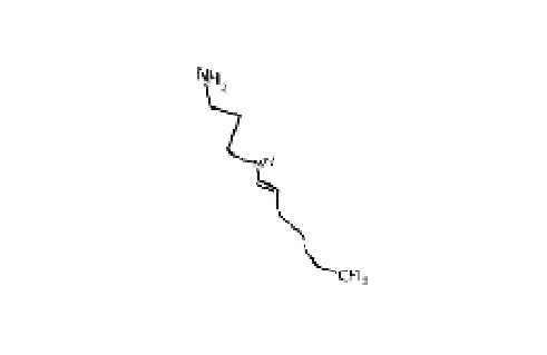 CCCCC=CNCCCN